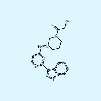 N#CCC(=O)N1CCC[C@@H](Nc2ccnc(-c3cnn4ccncc34)n2)C1